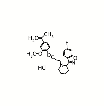 C=C(C)c1ccc(OCCCN2CCCCC2c2noc3cc(F)ccc23)c(OC)c1.Cl